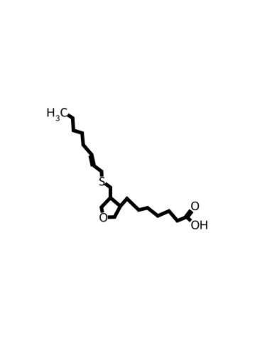 CCCCCC=CCSCC1COCC1CCCCCCC(=O)O